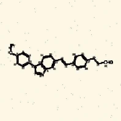 CC(C)Oc1ccc(-n2cnc3cc(C=Cc4ccc(CCC=O)cc4)ccc32)cc1